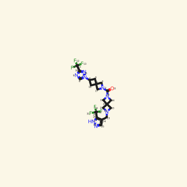 O=C(N1CC2(CC(n3cnc(C(F)(F)F)n3)C2)C1)N1CC2(CN(Cc3cn[nH]c3C(F)(F)F)C2)C1